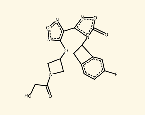 O=C(CO)N1CC(Oc2nonc2-c2noc(=O)n2C2Cc3ccc(F)cc32)C1